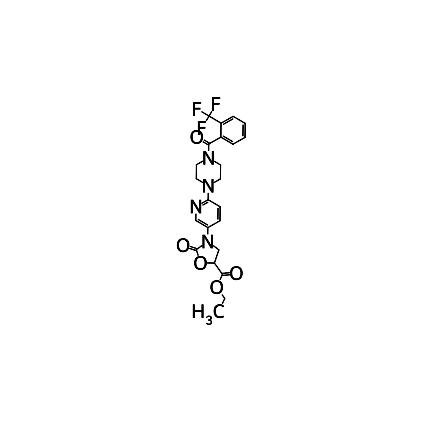 CCOC(=O)C1CN(c2ccc(N3CCN(C(=O)c4ccccc4C(F)(F)F)CC3)nc2)C(=O)O1